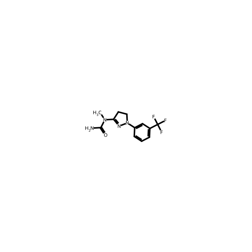 CN(C(N)=O)C1=NN(c2cccc(C(F)(F)F)c2)CC1